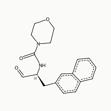 O=[C][C@H](Cc1ccc2ccccc2c1)NC(=O)N1CCOCC1